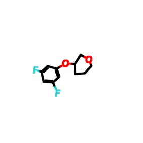 Fc1cc(F)cc(OC2CCCOC2)c1